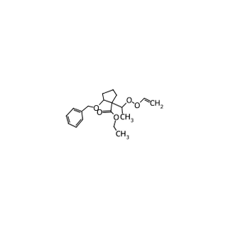 C=COOC(C)C1(C(=O)OCC)CCCC1OCc1ccccc1